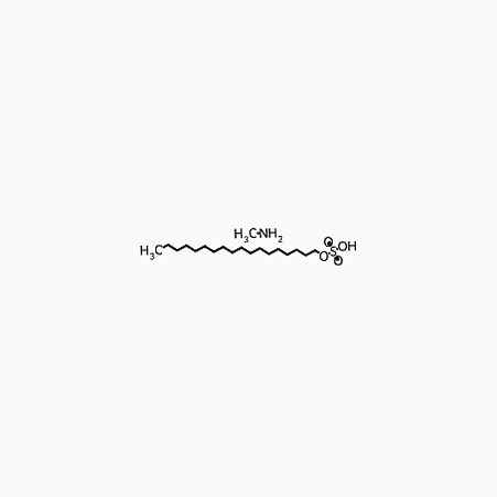 CCCCCCCCCCCCCCCCCCOS(=O)(=O)O.CN